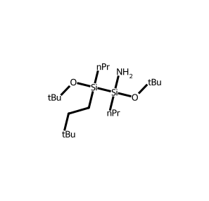 CCC[Si](N)(OC(C)(C)C)[Si](CCC)(CCC(C)(C)C)OC(C)(C)C